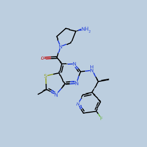 Cc1nc2nc(NC(C)c3cncc(F)c3)nc(C(=O)N3CC[C@@H](N)C3)c2s1